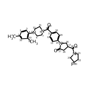 Cc1ccc(N2CCN(C(=O)c3ccc(N4CC(C(=O)N5CCC(F)C5)CC4=O)cc3)CC2)c(C)c1